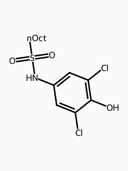 CCCCCCCCS(=O)(=O)Nc1cc(Cl)c(O)c(Cl)c1